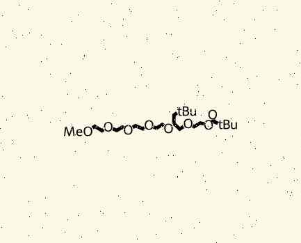 COCCOCCOCCOCCOC(COCCOC(=O)C(C)(C)C)CC(C)(C)C